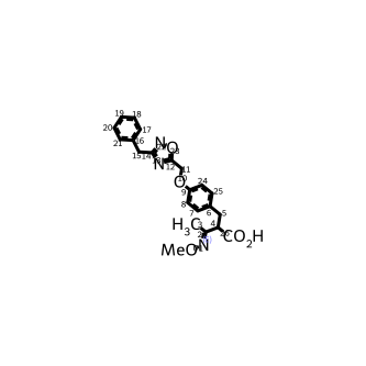 CO/N=C(\C)C(Cc1ccc(OCc2nc(Cc3ccccc3)no2)cc1)C(=O)O